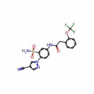 N#Cc1cnn(-c2ccc(NC(=O)Cc3ccccc3OC(F)(F)F)cc2S(N)(=O)=O)c1